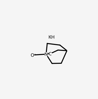 [KH].[O-][N+]12CCC(CC1)CC2